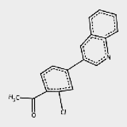 CC(=O)c1ccc(-c2cnc3ccccc3c2)cc1Cl